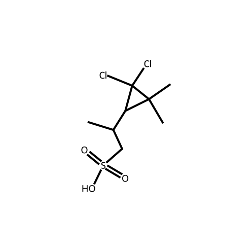 CC(CS(=O)(=O)O)C1C(C)(C)C1(Cl)Cl